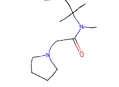 CCC(C)(C)N(C)C(=O)CN1CCCC1